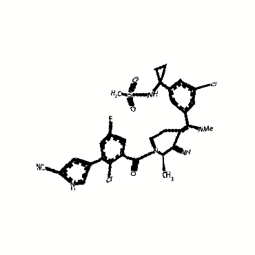 CN/C(=C1/CCN(C(=O)c2cc(F)cc(-c3c[nH]c(C#N)c3)c2Cl)[C@H](C)C1=N)c1cc(Cl)cc(C2(NS(C)(=O)=O)CC2)c1